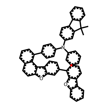 CC1(C)c2ccccc2-c2ccc(N(c3ccccc3)c3ccc(-c4cccc5ccc6oc7cc(-c8cccc9c8oc8ccccc89)ccc7c6c45)cc3)cc21